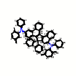 Cc1ccc(C)c(N(c2ccccc2)c2ccc3c4c(c5ccccc5c3c2)-c2c(cc(N(c3ccccc3)c3cc(C)ccc3C)c3ccccc23)C4(c2ccccc2)c2ccccc2)c1